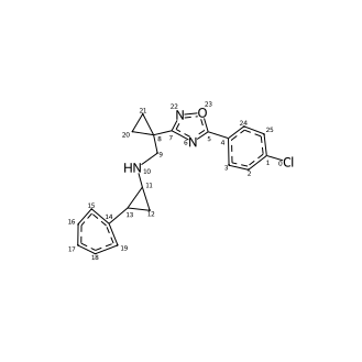 Clc1ccc(-c2nc(C3(CNC4CC4c4ccccc4)CC3)no2)cc1